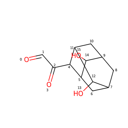 O=CC(=O)C1C2CC3CC(CC1C3O)C2O